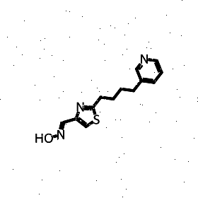 O/N=C/c1csc(CCCCc2cccnc2)n1